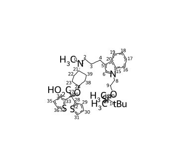 CN(CCCc1cn(CCO[Si](C)(C)C(C)(C)C)c2ccccc12)[C@H]1CC[C@H](OC(C(=O)O)(c2cccs2)c2cccs2)CC1